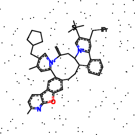 C=C1CC2C(CCc3cc4oc5nc(C)ccc5c4cc3-c3cc(C)c(CC4CCCC4)c[n+]31)c1ccccc1-c1cc(CC(C)C)c([Si](C)(C)C)c[n+]12